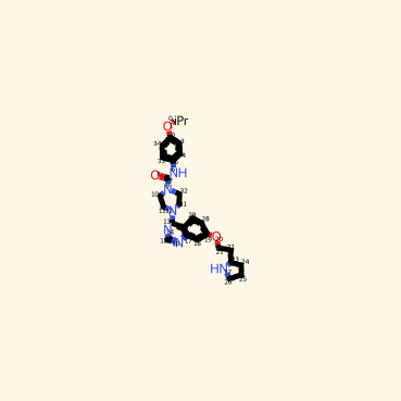 CC(C)Oc1ccc(NC(=O)N2CCN(c3ncnc4cc(OCCC5CCCN5)ccc34)CC2)cc1